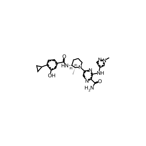 C[C@@H]1[C@H](NC(=O)c2ccc(C3CC3)c(O)c2)CCCN1c1cnc(C(N)=O)c(Nc2cnn(C)c2)n1